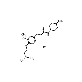 COc1cc(CCC(=O)N[C@H]2CC[C@H](C)CC2)ccc1OCCN(C)C.Cl